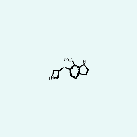 O=C(O)c1c(OC2CNC2)ccc2c1BCC2